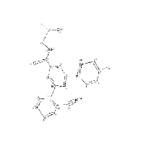 Cc1ccc(-c2cc(C(=O)NC[C@H](C)O)cc(-c3cnccc3C#N)c2)nc1